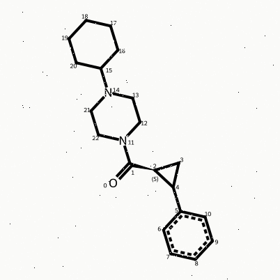 O=C([C@H]1CC1c1ccccc1)N1CCN(C2CCCCC2)CC1